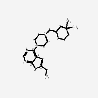 CC1(C)CCCC(CN2CCN(c3ncnc4sc(CC(F)(F)F)cc34)CC2)C1